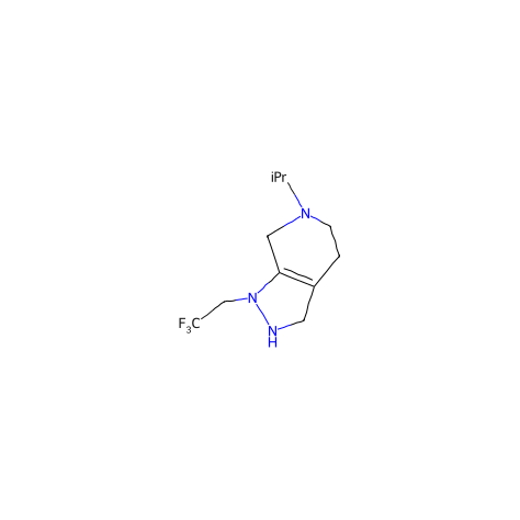 CC(C)N1CCC2=C(C1)N(CC(F)(F)F)NC2